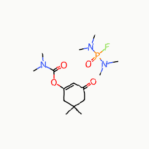 CN(C)C(=O)OC1=CC(=O)CC(C)(C)C1.CN(C)P(=O)(F)N(C)C